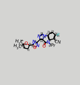 CC(C)n1c(=O)c2c(-c3noc(C4CCC(C)(C)O4)n3)ncn2c2ccc(F)c(C#N)c21